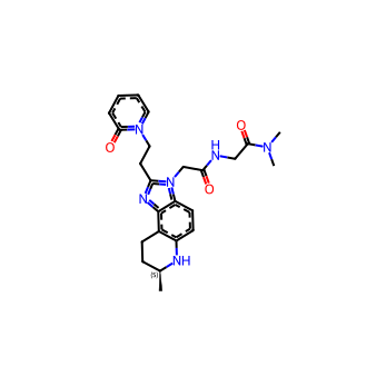 C[C@H]1CCc2c(ccc3c2nc(CCn2ccccc2=O)n3CC(=O)NCC(=O)N(C)C)N1